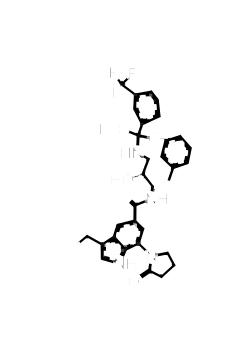 CCc1c[nH]c2c(N3CCCC3=O)cc(C(=O)N[C@@H](Cc3ccccc3)[C@@H](O)CNC(C)(C)c3cccc(C(F)(F)F)c3)cc12